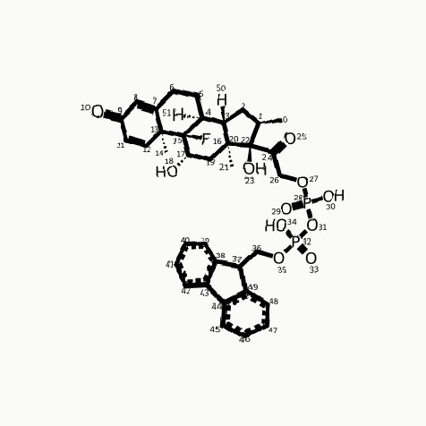 C[C@@H]1C[C@H]2[C@@H]3CCC4=CC(=O)C=C[C@]4(C)[C@@]3(F)[C@@H](O)C[C@]2(C)[C@@]1(O)C(=O)COP(=O)(O)OP(=O)(O)OCC1c2ccccc2-c2ccccc21